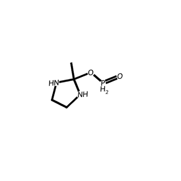 CC1(O[PH2]=O)NCCN1